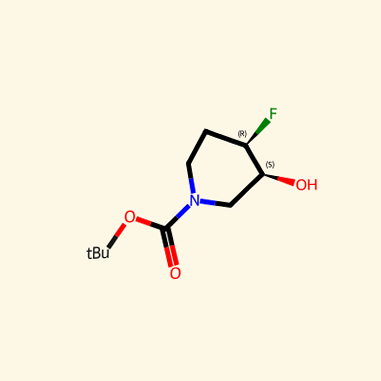 CC(C)(C)OC(=O)N1CC[C@@H](F)[C@@H](O)C1